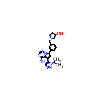 CC(C)n1nncc1-c1cc(-c2cccc(CN3CCC(O)C3)c2)n2ncnc(N)c12